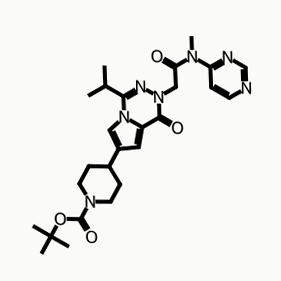 CC(C)c1nn(CC(=O)N(C)c2ccncn2)c(=O)c2cc(C3CCN(C(=O)OC(C)(C)C)CC3)cn12